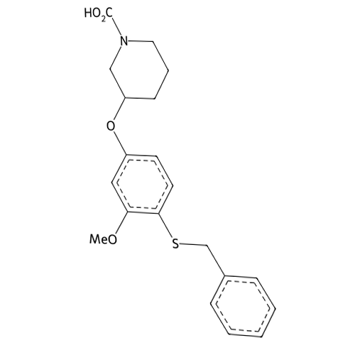 COc1cc(OC2CCCN(C(=O)O)C2)ccc1SCc1ccccc1